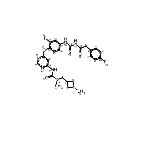 CN1CC(CN(C)C(=O)Nc2cc(Oc3ccc(NC(=S)NC(=O)Cc4ccc(F)cc4)cc3F)ncn2)C1